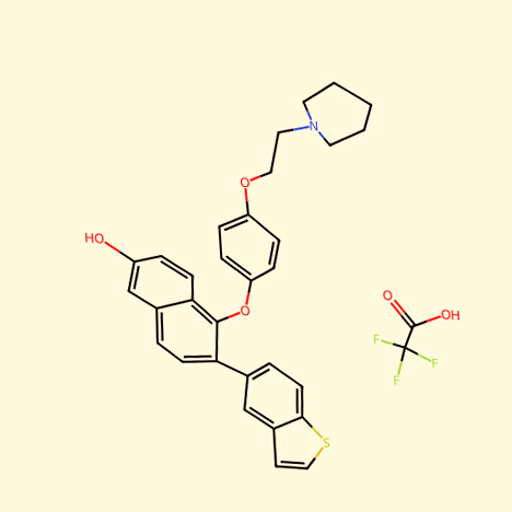 O=C(O)C(F)(F)F.Oc1ccc2c(Oc3ccc(OCCN4CCCCC4)cc3)c(-c3ccc4sccc4c3)ccc2c1